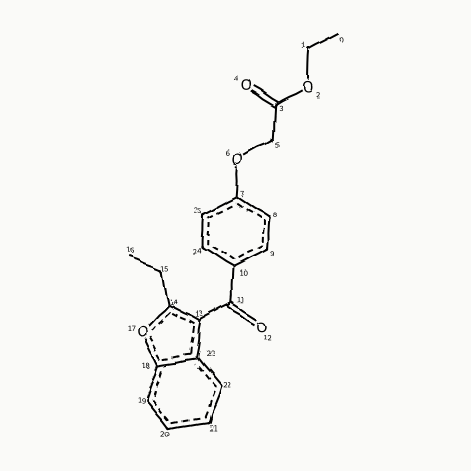 CCOC(=O)COc1ccc(C(=O)c2c(CC)oc3ccccc23)cc1